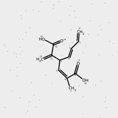 C=CC=CC(C=C(C)C(=O)O)C(=C)C(=O)O